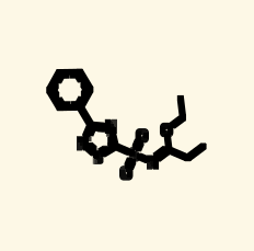 CCOC(CC)=NS(=O)(=O)c1nc(-c2ccccc2)ns1